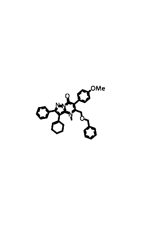 COc1ccc(-c2c(COCc3ccccc3)n(C)c3c(C4=CCCCC4)c(-c4ccccc4)nn3c2=O)cc1